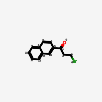 O=C(CCBr)c1ccc2ccccc2c1